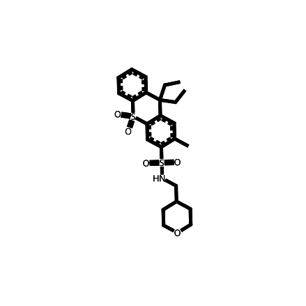 CCC1(CC)c2ccccc2S(=O)(=O)c2cc(S(=O)(=O)NCC3CCOCC3)c(C)cc21